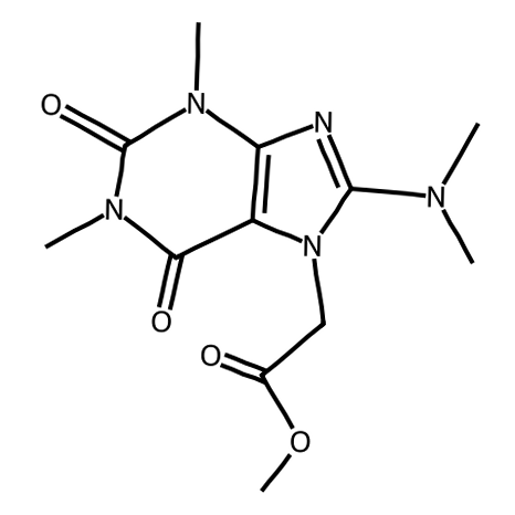 COC(=O)Cn1c(N(C)C)nc2c1c(=O)n(C)c(=O)n2C